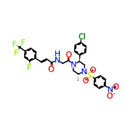 C[C@@H]1CN(C(=O)CNC(=O)/C=C/c2ccc(C(F)(F)F)cc2F)[C@@H](c2ccc(Cl)cc2)CN1S(=O)(=O)c1ccc([N+](=O)[O-])cc1